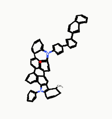 CC1CC=Cc2c1c1cc(-c3ccc(N(c4ccc(-c5cccc(-c6ccc7ccccc7c6)c5)cc4)c4ccccc4-c4ccc(-c5ccccc5)cc4)cc3)ccc1n2-c1ccccc1